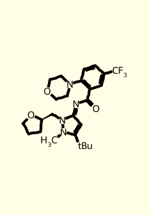 Cn1c(C(C)(C)C)c/c(=N\C(=O)c2cc(C(F)(F)F)ccc2N2CCOCC2)n1C[C@H]1CCCO1